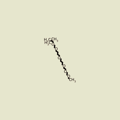 CCOCCOCCOCCCCOCCCCOCCOCC(C)(C)C